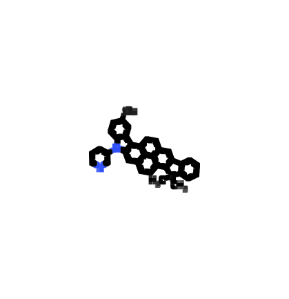 CC(C)(C)c1ccc2c(c1)c1c3ccc4cc5c(c6ccc(cc1n2-c1cccnc1)c3c46)[Si](C)(C)c1ccccc1-5